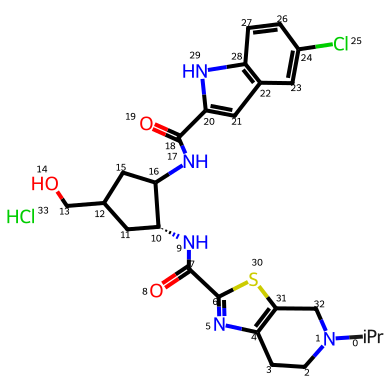 CC(C)N1CCc2nc(C(=O)N[C@@H]3CC(CO)CC3NC(=O)c3cc4cc(Cl)ccc4[nH]3)sc2C1.Cl